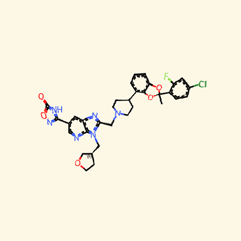 CC1(c2ccc(Cl)cc2F)Oc2cccc(C3CCN(Cc4nc5cc(-c6noc(=O)[nH]6)cnc5n4C[C@H]4CCOC4)CC3)c2O1